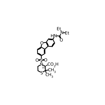 CCN(CC)C(=O)Nc1ccc2c(c1)oc1ccc(S(=O)(=O)N3CCSC(C)(C)[C@@H]3C(=O)O)cc12